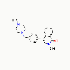 CN1CCN(Cc2ccc(-c3cn(C)c(=O)c4ccccc34)cc2)CC1